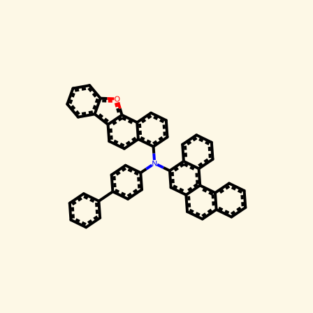 c1ccc(-c2ccc(N(c3cccc4c3ccc3c5ccccc5oc43)c3cc4ccc5ccccc5c4c4ccccc34)cc2)cc1